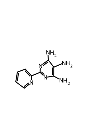 Nc1nc(-c2ccccn2)nc(N)c1N